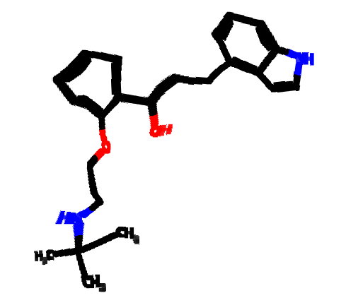 CC(C)(C)NCCOc1ccccc1C(O)CCc1cccc2[nH]ccc12